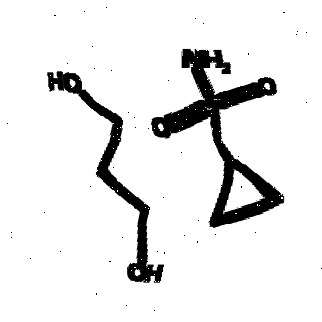 NS(=O)(=O)C1CC1.OCCCO